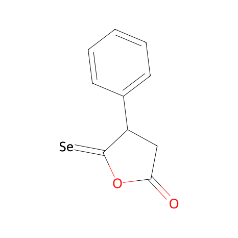 O=C1CC(c2ccccc2)C(=[Se])O1